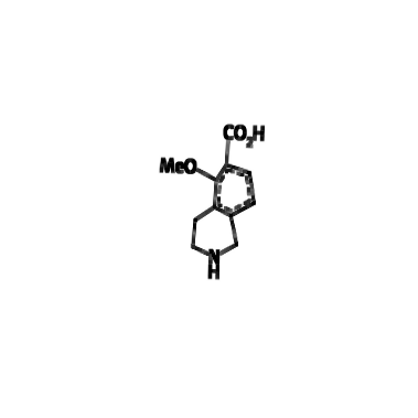 COc1c(C(=O)O)ccc2c1CCNC2